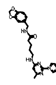 Cc1cc(NCCCCC(=O)NCc2ccc3c(c2)OCO3)nc(-n2ccnc2)n1